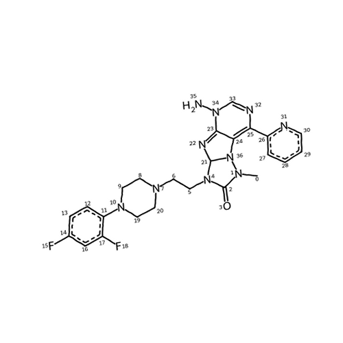 CN1C(=O)N(CCN2CCN(c3ccc(F)cc3F)CC2)C2N=C3C(=C(c4ccccn4)N=CN3N)N21